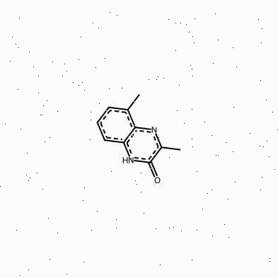 Cc1nc2c(C)cccc2[nH]c1=O